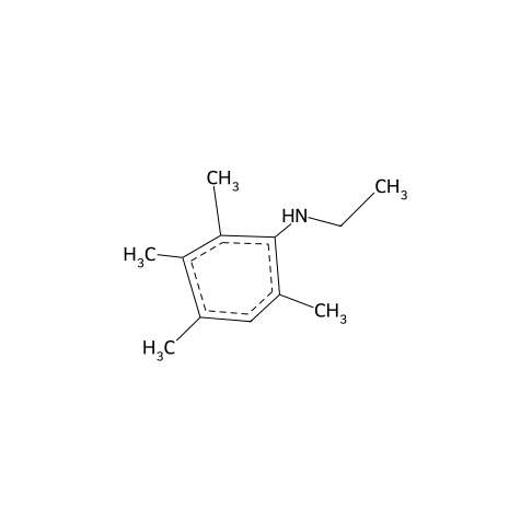 CCNc1c(C)cc(C)c(C)c1C